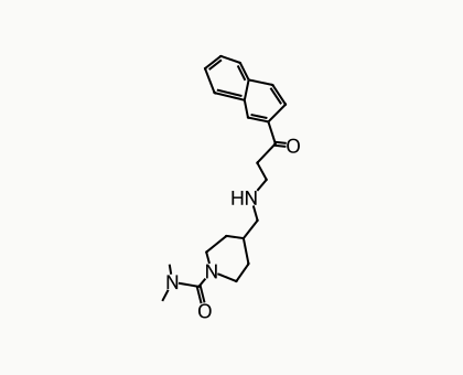 CN(C)C(=O)N1CCC(CNCCC(=O)c2ccc3ccccc3c2)CC1